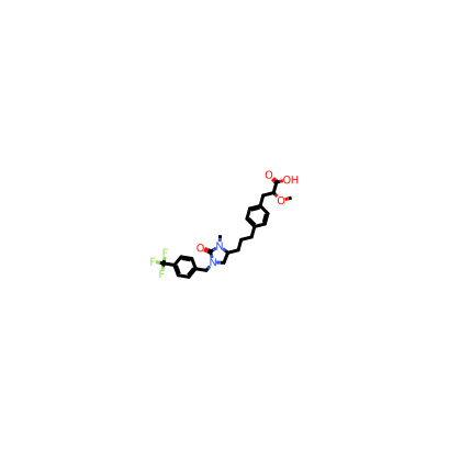 COC(Cc1ccc(CCCC2CN(Cc3ccc(C(F)(F)F)cc3)C(=O)N2C)cc1)C(=O)O